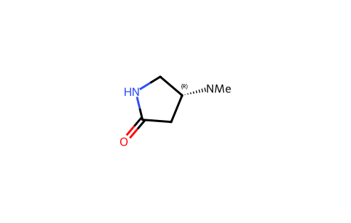 CN[C@H]1CNC(=O)C1